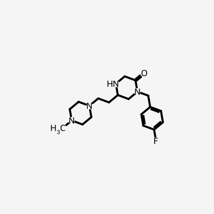 CN1CCN(CCC2CN(Cc3ccc(F)cc3)C(=O)CN2)CC1